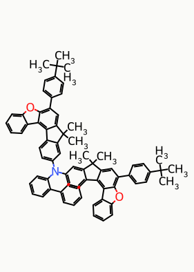 CC(C)(C)c1ccc(-c2cc3c(c4c2oc2ccccc24)-c2ccc(N(c4ccc5c(c4)C(C)(C)c4cc(-c6ccc(C(C)(C)C)cc6)c6oc7ccccc7c6c4-5)c4ccccc4-c4ccccc4)cc2C3(C)C)cc1